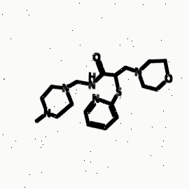 CN1CCN(CNC(=O)C(CN2CCOCC2)Sc2ccccn2)CC1